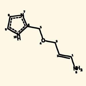 NC=CCOCc1ncc[nH]1